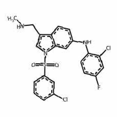 CNCc1cn(S(=O)(=O)c2cccc(Cl)c2)c2cc(Nc3ccc(F)cc3Cl)ccc12